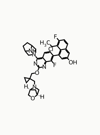 CCc1c(F)ccc2cc(O)cc(-c3c(Cl)cc4c(N5CC6CCC(C5)N6)nc(OCC5(CN6C[C@@H]7C[C@H]6CO7)CC5)nc4c3F)c12